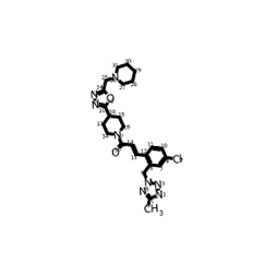 Cc1nnn(Cc2cc(Cl)ccc2C=CC(=O)N2CCC(c3nnc(CN4CCCCC4)o3)CC2)n1